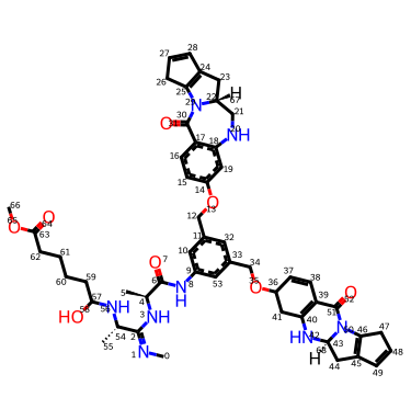 C/N=C(\N[C@@H](C)C(=O)Nc1cc(COc2ccc3c(c2)NC[C@H]2CC4=C(CC=C4)N2C3=O)cc(COC2C=CC3=C(C2)N[C@@H]2CC4=C(CC=C4)N2C3=O)c1)[C@H](C)NC(O)CCCCC(=O)OC